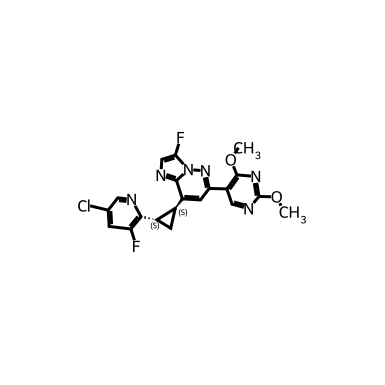 COc1ncc(-c2cc([C@H]3C[C@@H]3c3ncc(Cl)cc3F)c3ncc(F)n3n2)c(OC)n1